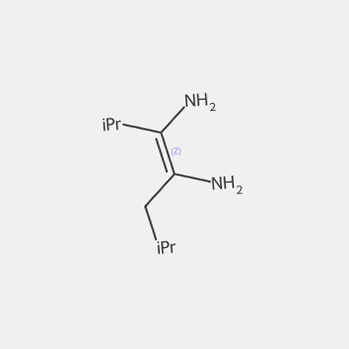 CC(C)C/C(N)=C(/N)C(C)C